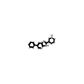 c1ccc(-c2cnc3[nH]c(C4CCCNC4)nc3c2)cc1